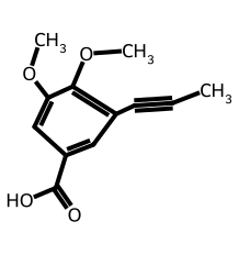 CC#Cc1cc(C(=O)O)cc(OC)c1OC